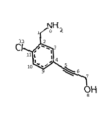 NCc1cc(C#CCO)ccc1Cl